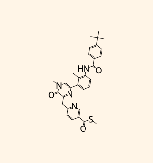 CSC(=O)c1ccc(Cc2nc(-c3cccc(NC(=O)c4ccc(C(C)(C)C)cc4)c3C)cn(C)c2=O)nc1